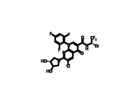 CC[C@H](NC(=O)c1cn(-c2c(F)cc(F)cc2F)c2nc(N3C[C@@H](O)[C@H](O)C3)c(Cl)cc2c1=O)C(F)(F)F